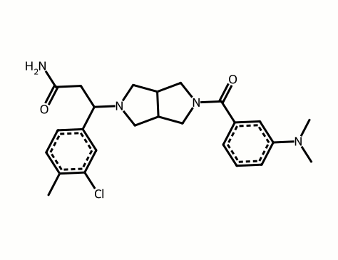 Cc1ccc(C(CC(N)=O)N2CC3CN(C(=O)c4cccc(N(C)C)c4)CC3C2)cc1Cl